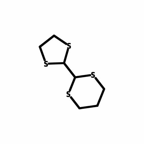 C1CSC(C2SCCS2)SC1